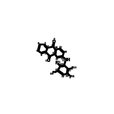 O=C1c2ccccc2C(=O)c2cc(Nc3c(F)c(F)cc(F)c3F)ccc21